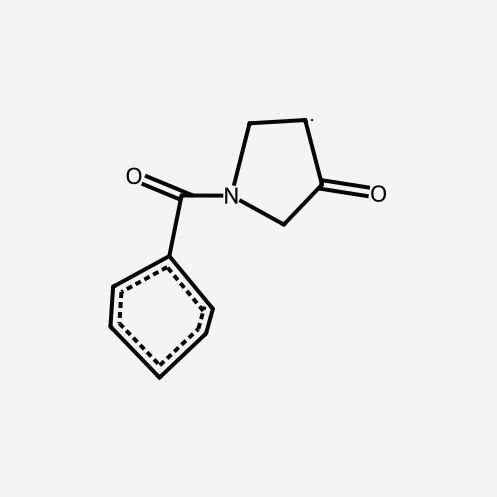 O=C1[CH]CN(C(=O)c2ccccc2)C1